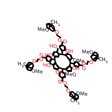 COc1cc(O)c2cc1C(c1ccc(C(=O)OCCOC34CC5CC(C)(CC(OC)(C5)C3)C4)cc1)c1cc(c(OC)cc1O)C(c1ccc(C(=O)OCCOC34CC5CC(C)(CC(OC)(C5)C3)C4)cc1)c1cc(c(CO)cc1O)C(c1ccc(C(=O)OCCOC34CC5CC(C)(CC(OC)(C5)C3)C4)cc1)c1cc(c(CO)cc1O)C2c1ccc(C(=O)OCCOC23CC4CC(C)(CC(OC)(C4)C2)C3)cc1